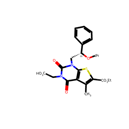 CCOC(=O)c1sc2c(c1C)c(=O)n(CC(=O)O)c(=O)n2C[C@@H](OC(C)C)c1ccccc1